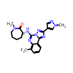 CN1CCCC[C@@H](Nc2nc3c(C(F)(F)F)cccc3c3nc(-c4cnn(C)c4)nn23)C1=O